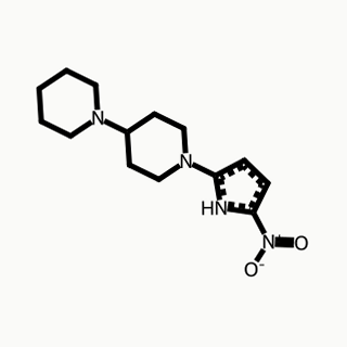 O=[N+]([O-])c1ccc(N2CCC(N3CCCCC3)CC2)[nH]1